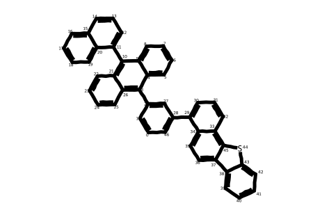 c1cc(-c2c3ccccc3c(-c3cccc4ccccc34)c3ccccc23)cc(-c2cccc3c2ccc2c4ccccc4sc32)c1